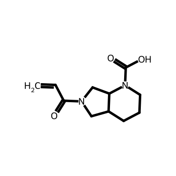 C=CC(=O)N1CC2CCCN(C(=O)O)C2C1